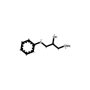 COCC(O)CSc1ccccc1